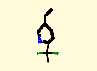 C=Cc1ccc(C(C)(F)F)nc1